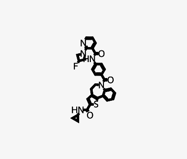 O=C(NC1CC1)c1cc2c(s1)-c1ccccc1N(C(=O)c1ccc(NC(=O)c3cccnc3N3CC(F)C3)cc1)CC2